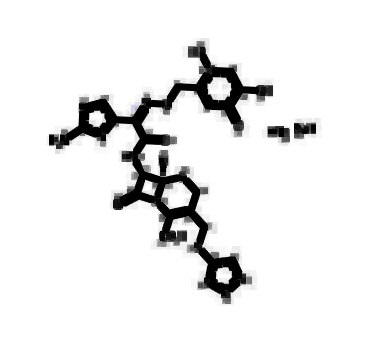 Nc1nc(/C(=N/OCc2cc(=O)c(O)cn2O)C(=O)N[C@@H]2C(=O)N3C(C(=O)O)=C(CSc4cnns4)CS[C@H]23)cs1.[NaH].[NaH]